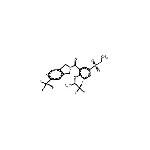 CCS(=O)(=O)c1ccc(OC(C)C(F)(F)F)c(C(=O)N2Cc3cnc(C(F)(F)F)cc3C2)c1